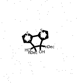 CCCCCCCCCCC1(O)c2ccsc2-c2sccc2C1(O)CCCCCCCCCC